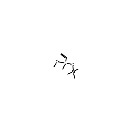 C=C[Si](C)(OC)O[Si](C)(C)C